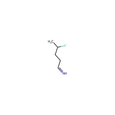 CC(F)CCC=N